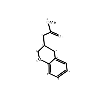 COC(=O)CC1COc2ccccc2C1